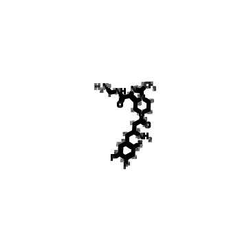 NCNC(=O)c1nc(C(F)(F)F)n2c1CN(C(=O)CC(N)Cc1cc(F)c(F)cc1F)CC2